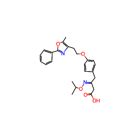 Cc1oc(-c2ccccc2)nc1CCOc1ccc(CC(CC(=O)O)=NOC(C)C)cc1